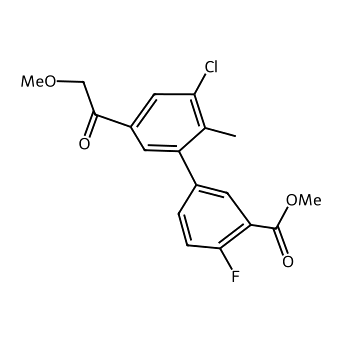 COCC(=O)c1cc(Cl)c(C)c(-c2ccc(F)c(C(=O)OC)c2)c1